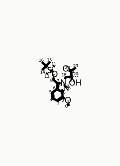 COc1cccc2c(CO[Si](C)(C)C(C)(C)C)n(C[C@](C)(O)C(C)=O)nc12